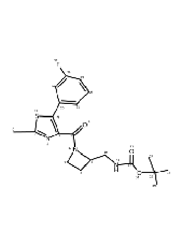 Cc1nc(C(=O)N2CCC2CNC(=O)OC(C)(C)C)c(-c2cccc(F)c2)s1